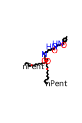 CCCCC/C=C\C/C=C\CCCCCCCCC1(CCCCCCCC/C=C\C/C=C\CCCCC)OCC(CCN(C)CCCCCC(=O)NCCCNC(=O)c2ccc(C)cc2)O1